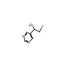 OC(CF)c1cncnc1